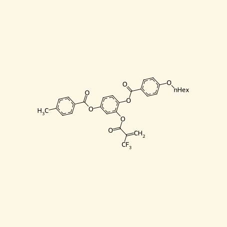 C=C(C(=O)Oc1cc(OC(=O)c2ccc(C)cc2)ccc1OC(=O)c1ccc(OCCCCCC)cc1)C(F)(F)F